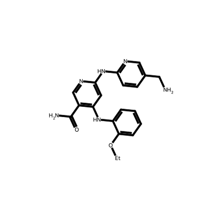 CCOc1ccccc1Nc1cc(Nc2ccc(CN)cn2)ncc1C(N)=O